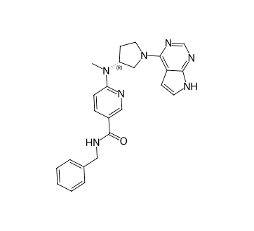 CN(c1ccc(C(=O)NCc2ccccc2)cn1)[C@@H]1CCN(c2ncnc3[nH]ccc23)C1